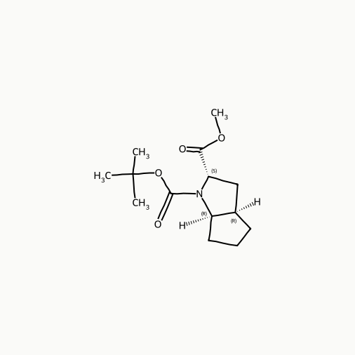 COC(=O)[C@@H]1C[C@H]2CCC[C@H]2N1C(=O)OC(C)(C)C